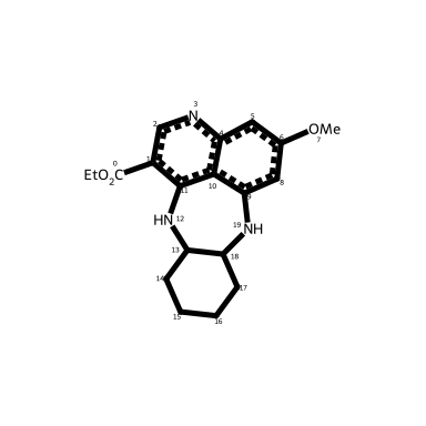 CCOC(=O)c1cnc2cc(OC)cc3c2c1NC1CCCCC1N3